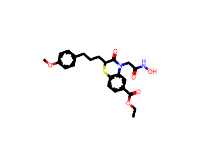 CCOC(=O)c1ccc2c(c1)N(CC(=O)NO)C(=O)C(CCCc1ccc(OC)cc1)S2